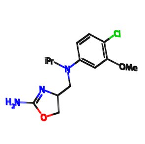 COc1cc(N(CC2COC(N)=N2)C(C)C)ccc1Cl